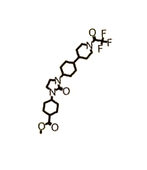 COC(=O)C1CCC(N2CCN(C3CCC(C4CCN(C(=O)C(F)(F)F)CC4)CC3)C2=O)CC1